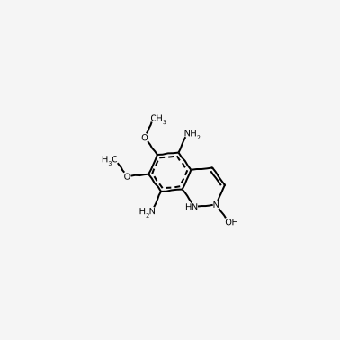 COc1c(N)c2c(c(N)c1OC)NN(O)C=C2